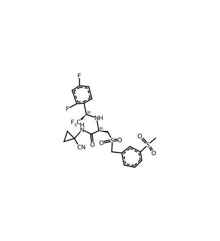 CS(=O)(=O)c1cccc(CS(=O)(=O)C[C@H](N[C@H](c2ccc(F)cc2F)C(F)(F)F)C(=O)NC2(C#N)CC2)c1